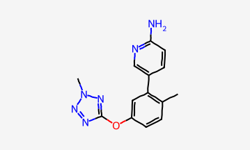 Cc1ccc(Oc2nnn(C)n2)cc1-c1ccc(N)nc1